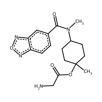 CN(C(=O)c1ccc2nonc2c1)C1CCC(C)(OC(=O)CN)CC1